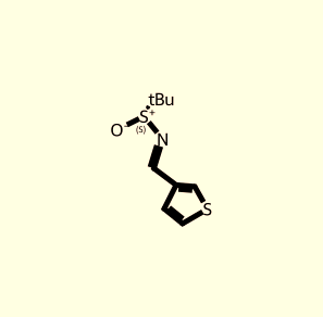 CC(C)(C)[S@@+]([O-])N=Cc1ccsc1